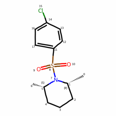 C[C@@H]1CCC[C@H](C)N1S(=O)(=O)c1ccc(Cl)cc1